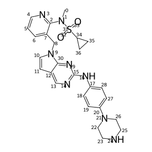 CN(c1ncccc1Cn1ccc2cnc(Nc3ccc(N4CCNCC4)cc3)nc21)S(=O)(=O)C1CC1